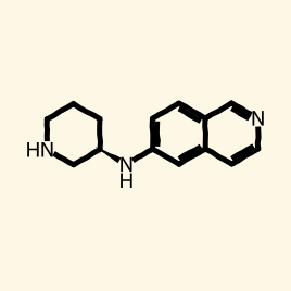 c1cc2cc(N[C@@H]3CCCNC3)ccc2cn1